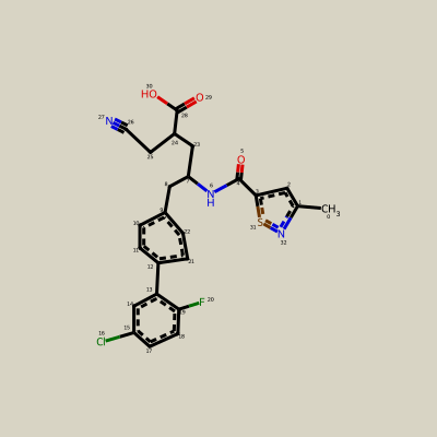 Cc1cc(C(=O)NC(Cc2ccc(-c3cc(Cl)ccc3F)cc2)CC(CC#N)C(=O)O)sn1